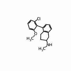 CNC1CCc2c(cccc2-c2c(Cl)cccc2OC)C1